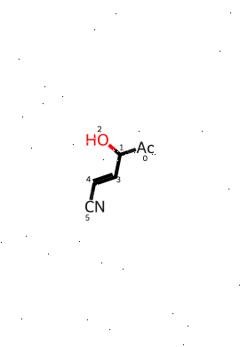 CC(=O)C(O)/C=C/C#N